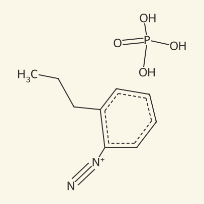 CCCc1ccccc1[N+]#N.O=P(O)(O)O